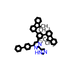 CC1(C)c2ccccc2-c2cccc(-c3cc(-c4cc(-c5ccc(-c6ccccc6)cc5)nc(-c5cnc[nH]5)n4)cc(-c4cccc5c4C(C)(C)c4ccccc4-5)c3)c21